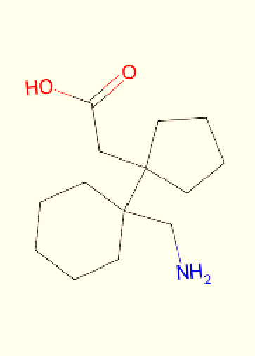 NCC1(C2(CC(=O)O)CCCC2)CCCCC1